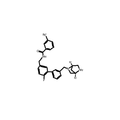 N#Cc1cccc(C(=O)NCc2ccc(F)c(-c3cccc(CN4C[C@@H]5C[C@H]4CN5)c3)c2)c1